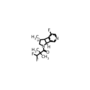 C[C@H]1CN(C(=O)C(C)(C)C(F)F)[C@@H]2c3cncc(F)c3C21